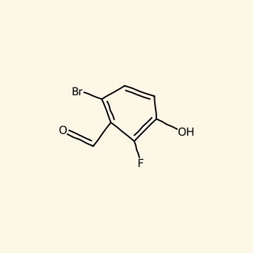 O=Cc1c(Br)ccc(O)c1F